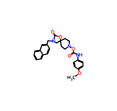 COc1ccc(NC(=O)ON2CCC3(CC2)CN(Cc2ccc4ccccc4c2)C(=O)O3)cc1